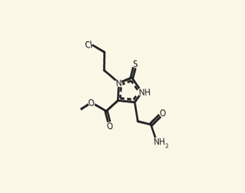 COC(=O)c1c(CC(N)=O)[nH]c(=S)n1CCCl